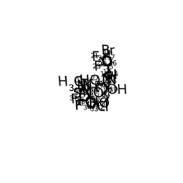 Cn1nc([C@@H]2O[C@H](CO)[C@H](O)[C@H](n3cc(-c4ccc(Br)c(F)c4F)nn3)[C@H]2O)n(-c2cc(Cl)ccc2C(F)(F)F)c1=S